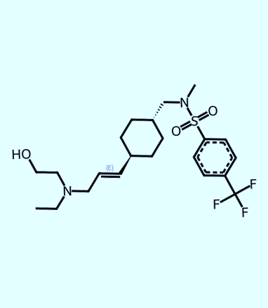 CCN(C/C=C/[C@H]1CC[C@H](CN(C)S(=O)(=O)c2ccc(C(F)(F)F)cc2)CC1)CCO